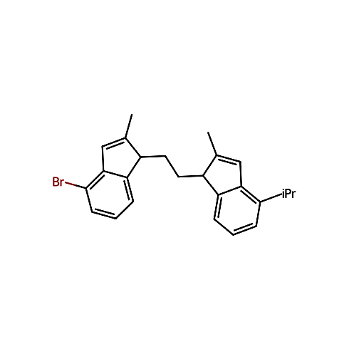 CC1=Cc2c(Br)cccc2C1CCC1C(C)=Cc2c(C(C)C)cccc21